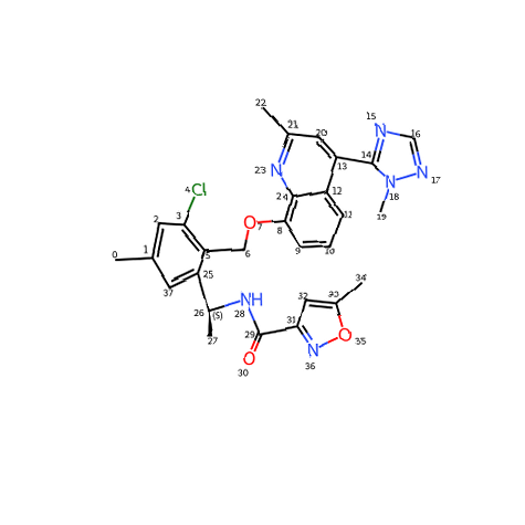 Cc1cc(Cl)c(COc2cccc3c(-c4ncnn4C)cc(C)nc23)c([C@H](C)NC(=O)c2cc(C)on2)c1